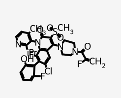 C=C(F)C(=O)N1CCN(c2c(S(C)(=O)=O)c(=O)n(-c3c(C)ccnc3C(C)C)c3c(F)c(-c4c(O)cccc4F)c(Cl)cc23)CC1